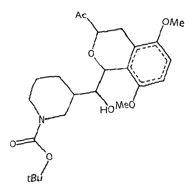 COc1ccc(OC)c2c1CC(C(C)=O)OC2C(O)C1CCCN(C(=O)OC(C)(C)C)C1